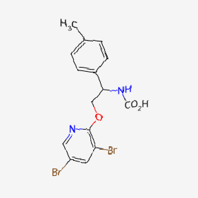 Cc1ccc(C(COc2ncc(Br)cc2Br)NC(=O)O)cc1